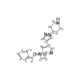 Cc1ccccc1C(C)On1ccc2ncc(-c3cnn(C4CCNCC4)c3)cc21